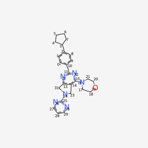 [c]1cc(C2CCCC2)ccc1-c1nc2c(c(N3CCOCC3)n1)CN(c1ncccn1)C2